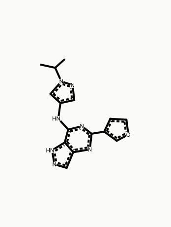 CC(C)n1cc(Nc2nc(-c3ccoc3)nc3cn[nH]c23)cn1